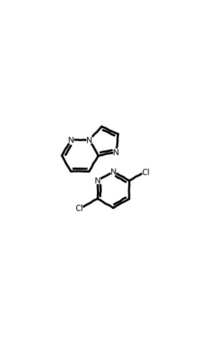 Clc1ccc(Cl)nn1.c1cnn2ccnc2c1